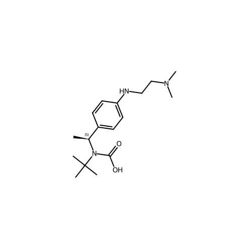 C[C@@H](c1ccc(NCCN(C)C)cc1)N(C(=O)O)C(C)(C)C